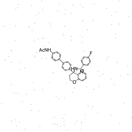 CC(=O)Nc1ccc(-c2ccc([C@@]3(NC(=O)c4ccc(F)cc4)CCOc4cccnc43)cc2)cc1